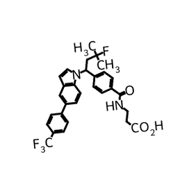 CC(C)(F)CC(c1ccc(C(=O)NCCC(=O)O)cc1)n1ccc2cc(-c3ccc(C(F)(F)F)cc3)ccc21